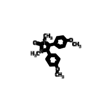 COc1ccc(-c2c(-c3ccc(OC)cc3)n(C)c(=O)n2C)cc1